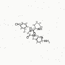 Nc1ccc(CNC(=O)[C@H](Cc2cccc(Cl)c2)NC(=O)[C@H]2CCCCN2)cn1